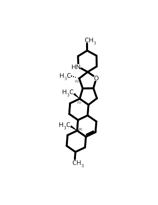 CC1CCC2(NC1)OC1CC3C4CC=C5CC(C)CC[C@]5(C)C4CC[C@]3(C)C1[C@@H]2C